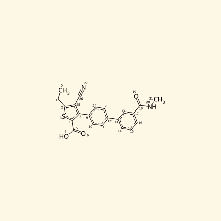 CCc1sc(C(=O)O)c(-c2ccc(-c3cccc(C(=O)NC)c3)cc2)c1C#N